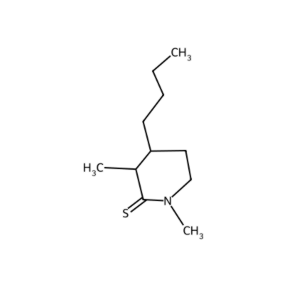 CCCCC1CCN(C)C(=S)C1C